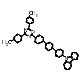 Cc1ccc(-c2nc(-c3ccc(C)cc3)nc(-c3ccc(-c4ccc(-c5ccc(-n6c7ccccc7c7ccccc76)cc5)cc4)cc3)n2)cc1